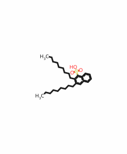 CCCCCCCCCc1cc2ccccc2c(S(=O)(=O)O)c1CCCCCCCCC